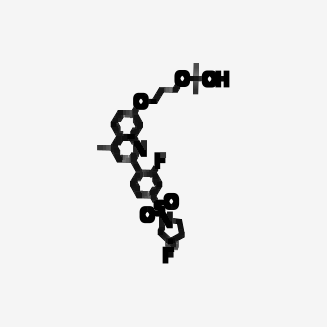 Cc1cc(-c2ccc(S(=O)(=O)N3CC[C@H](F)C3)cc2F)nc2cc(OCCCOC(C)(C)O)ccc12